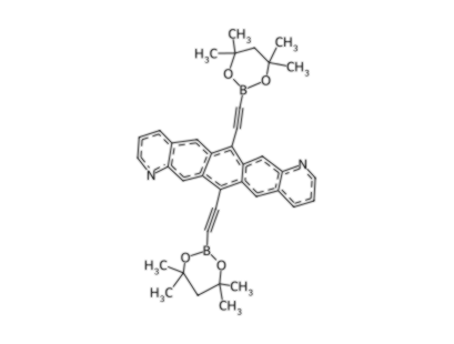 CC1(C)CC(C)(C)OB(C#Cc2c3cc4cccnc4cc3c(C#CB3OC(C)(C)CC(C)(C)O3)c3cc4cccnc4cc23)O1